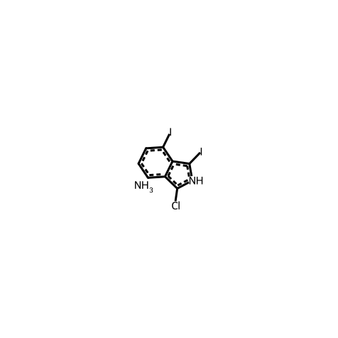 Clc1[nH]c(I)c2c(I)cccc12.N